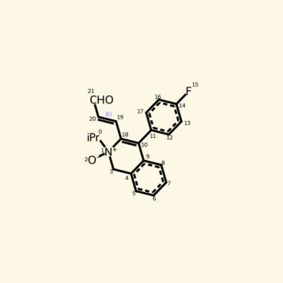 CC(C)[N+]1([O-])Cc2ccccc2C(c2ccc(F)cc2)=C1/C=C/C=O